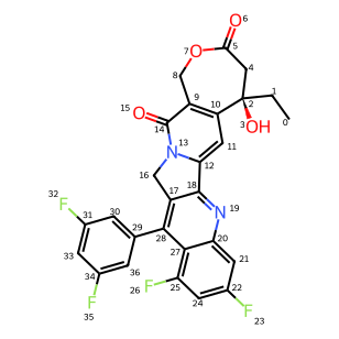 CC[C@@]1(O)CC(=O)OCc2c1cc1n(c2=O)Cc2c-1nc1cc(F)cc(F)c1c2-c1cc(F)cc(F)c1